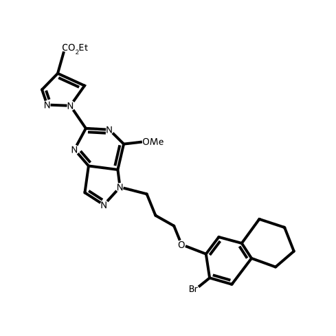 CCOC(=O)c1cnn(-c2nc(OC)c3c(cnn3CCCOc3cc4c(cc3Br)CCCC4)n2)c1